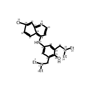 CCN(CC)Cc1cc(Nc2ccnc3cc(Cl)ccc23)cc(CN(CC)CC)c1O